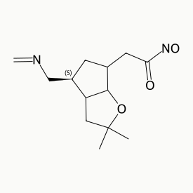 C=NC[C@H]1CC(CC(=O)N=O)C2OC(C)(C)CC21